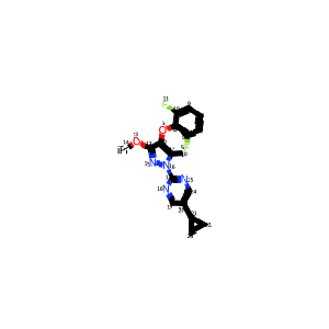 Cc1c(Oc2c(F)cccc2F)c(OC(C)C)nn1-c1ncc(C2CC2)cn1